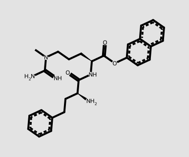 CN(CCC[C@H](NC(=O)[C@@H](N)CCc1ccccc1)C(=O)Oc1ccc2ccccc2c1)C(=N)N